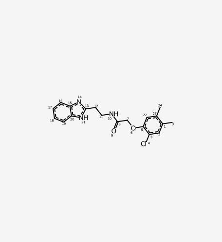 Cc1cc(Cl)c(OCC(=O)NCCc2nc3ccccc3[nH]2)cc1C